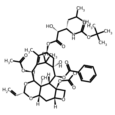 C=C[C@H]1O[C@H]2C[C@H]3OC[C@@]3(OC(C)=O)[C@H]3[C@H](OC(=O)c4ccccc4)[C@]4(O)C[C@H](OC(=O)[C@H](O)[C@H](CC(C)C)NC(=O)OC(C)(C)C)C(C)=C([C@H](OC(C)=O)[C@H](O1)[C@]23C)C4(C)C